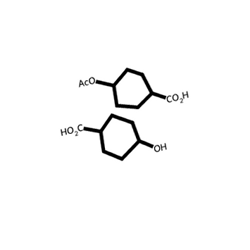 CC(=O)OC1CCC(C(=O)O)CC1.O=C(O)C1CCC(O)CC1